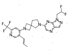 C/C=C/c1cnc(C(F)(F)F)cc1N1CC2(CCN(c3cnc4cnn(CC(F)F)c4n3)C2)C1